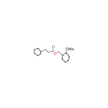 COc1ccccc1COC(Cl)CCc1ccccc1